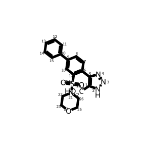 O=C(O)c1[nH]nnc1-c1ccc(-c2ccccc2)cc1S(=O)(=O)N1CCOCC1